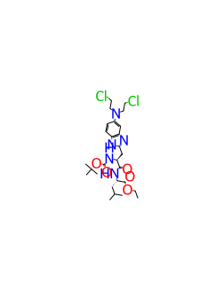 CCOC(=O)[C@H](CC(C)C)NC(=O)[C@H](Cc1nc2cc(N(CCCl)CCCl)ccc2n1C)NC(=O)OC(C)(C)C